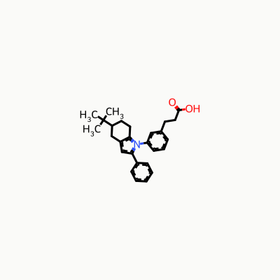 CC(C)(C)C1CCc2c(cc(-c3ccccc3)n2-c2cccc(CCC(=O)O)c2)C1